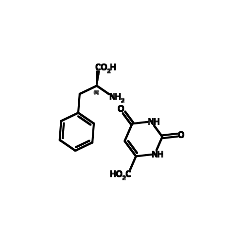 N[C@@H](Cc1ccccc1)C(=O)O.O=C(O)c1cc(=O)[nH]c(=O)[nH]1